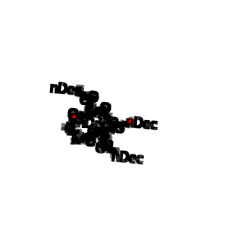 CCCCCCCCCCCCOC(=O)CCN(CCOC(=O)CCN(C)CCN(C)CCC(=O)OCCN(CCC(=O)OCCCCCCCCCCCC)CCC(=O)OCCCCCCCCCCCC)CCC(=O)OCCCCCCCCCCCC